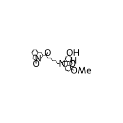 COc1ccc2c3c1O[C@H]1C[C@@H](O)C=C[C@@]31CCN(CCCCCC(=O)C1Cc3cccc4c3N(C1)C(=O)C4)C2